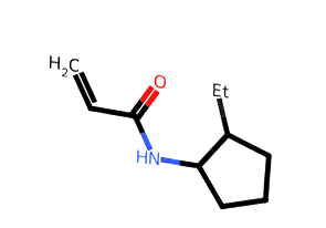 C=CC(=O)NC1CCCC1CC